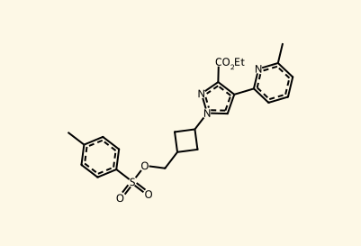 CCOC(=O)c1nn(C2CC(COS(=O)(=O)c3ccc(C)cc3)C2)cc1-c1cccc(C)n1